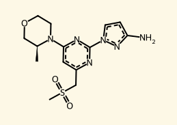 C[C@H]1COCCN1c1cc(CS(C)(=O)=O)nc(-n2ccc(N)n2)n1